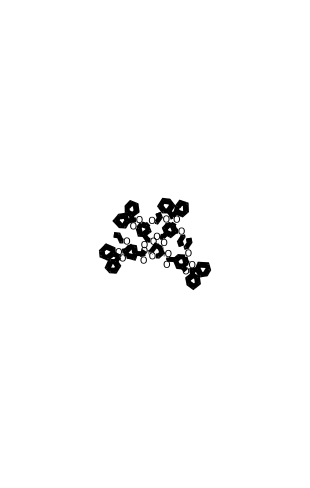 C=CCOc1cc(C(=O)O[C@H]2OC[C@@H](OC(=O)c3cc(OCC=C)c4c(c3)OC(c3ccccc3)(c3ccccc3)O4)[C@H](OC(=O)c3cc(OCC=C)c4c(c3)OC(c3ccccc3)(c3ccccc3)O4)[C@H]2OC(=O)c2cc(OCC=C)c3c(c2)OC(c2ccccc2)(c2ccccc2)O3)cc2c1OC(c1ccccc1)(c1ccccc1)O2